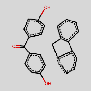 O=C(c1ccc(O)cc1)c1ccc(O)cc1.c1ccc2c(c1)Cc1ccccc1-2